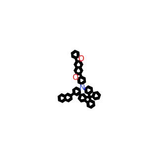 c1ccc(C2(c3cccc(N(c4ccc(-c5ccc6ccccc6c5)cc4)c4ccc5c(c4)oc4cc6cc7c(cc6cc45)oc4ccccc47)c3)c3ccccc3-c3ccccc32)cc1